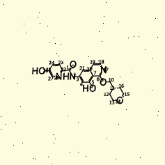 O=C(Nc1cc(O)c2c(OCC3CCOCC3)nccc2c1)c1ccc(O)cn1